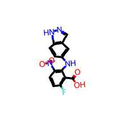 O=C(O)c1c(F)ccc([N+](=O)[O-])c1Nc1ccc2[nH]ncc2c1